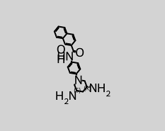 N[C@@H]1C[C@H](N)CN(c2ccc(NC(=O)c3ccc4ccccc4c3O)cc2)C1